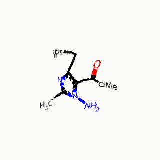 COC(=O)c1c(CC(C)C)nc(C)n1N